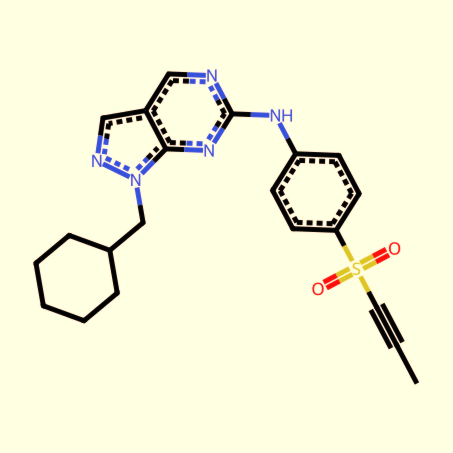 CC#CS(=O)(=O)c1ccc(Nc2ncc3cnn(CC4CCCCC4)c3n2)cc1